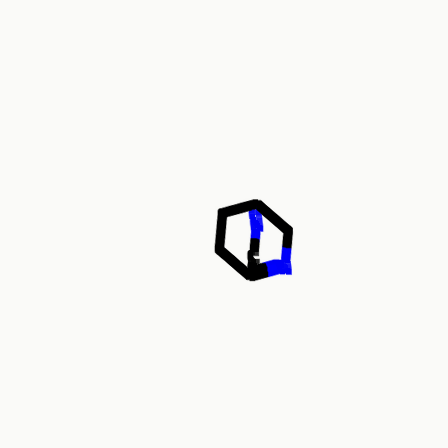 C1CC2CN=C1CN2